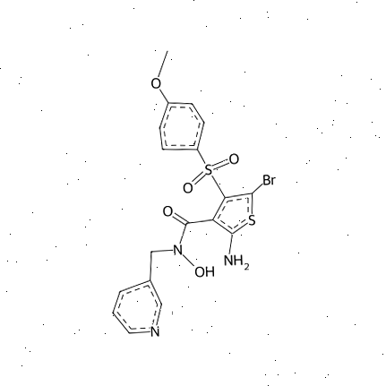 COc1ccc(S(=O)(=O)c2c(Br)sc(N)c2C(=O)N(O)Cc2cccnc2)cc1